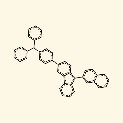 c1ccc(N(c2ccccc2)c2ccc(-c3ccc4c(c3)c3ccccc3n4-c3ccc4ccccc4c3)cc2)cc1